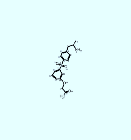 C[C@@H](N)Cc1ccc(S(=O)(=O)c2cccc(OCC(=O)O)c2)cc1